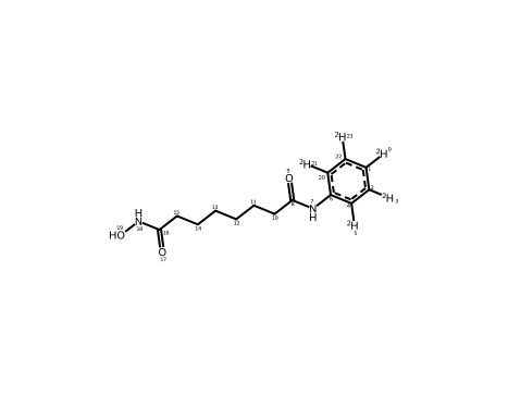 [2H]c1c([2H])c([2H])c(NC(=O)CCCCCCC(=O)NO)c([2H])c1[2H]